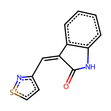 O=C1Nc2ccccc2C1=Cc1ccsn1